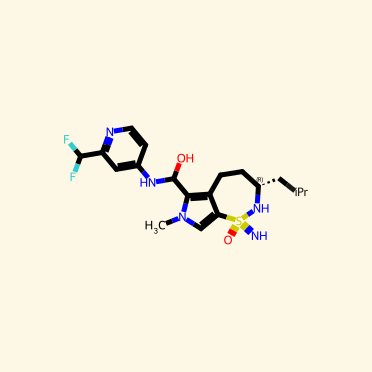 CC(C)C[C@H]1CCc2c(cn(C)c2C(O)Nc2ccnc(C(F)F)c2)S(=N)(=O)N1